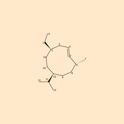 CC[C@H]1C/C=C/[C@H](C)CC[C@@H](C(C)C)CC1